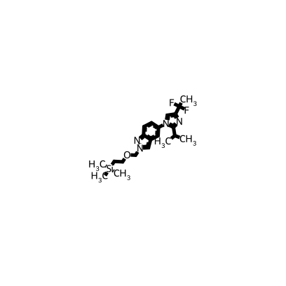 CC(C)c1nc(C(C)(F)F)cn1-c1ccc2nn(COCC[Si](C)(C)C)cc2c1